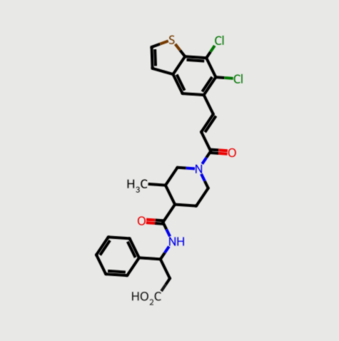 CC1CN(C(=O)C=Cc2cc3ccsc3c(Cl)c2Cl)CCC1C(=O)NC(CC(=O)O)c1ccccc1